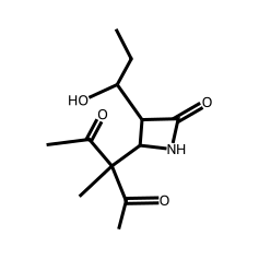 CCC(O)C1C(=O)NC1C(C)(C(C)=O)C(C)=O